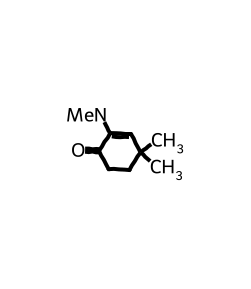 CNC1=CC(C)(C)CCC1=O